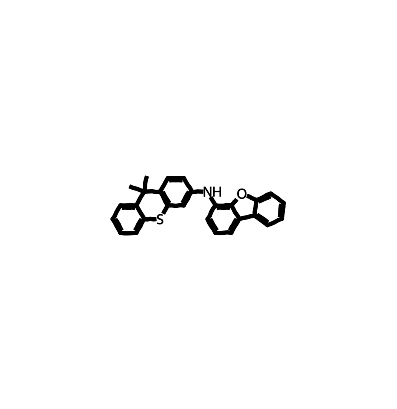 CC1(C)c2ccccc2Sc2cc(Nc3cccc4c3oc3ccccc34)ccc21